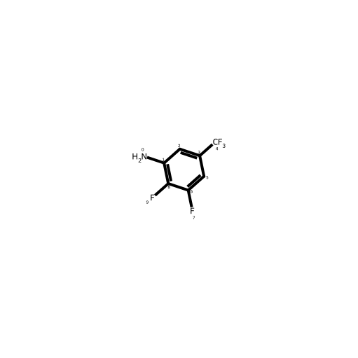 Nc1cc(C(F)(F)F)cc(F)c1F